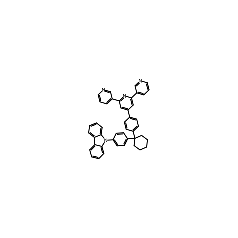 c1cncc(-c2cc(-c3ccc(C4(c5ccc(-n6c7ccccc7c7ccccc76)cc5)CCCCC4)cc3)cc(-c3cccnc3)n2)c1